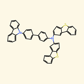 c1ccc2c(c1)sc1ccc(N(c3ccc(-c4ccc(-n5c6ccccc6c6ccccc65)cc4)cc3)c3ccc4sc5ccccc5c4c3)cc12